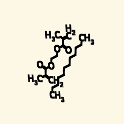 C=C(C)C(=O)OCCOC(=O)C(=C)C.CCCCCCCCCCCC